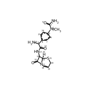 CN(C(N)=O)c1ccc(C(N)C(=O)NC2C(=O)N3C=CCS[C@@H]23)cc1